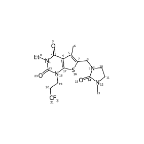 CCn1c(=O)c2c(C)c(CN3CCN(C)C3=O)sc2n(CCC(F)(F)F)c1=O